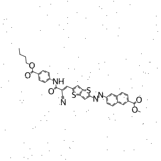 CCCCOC(=O)c1ccc(NC(=O)/C(C#N)=C/c2cc3sc(/N=N/c4ccc5cc(C(=O)OC)ccc5c4)cc3s2)cc1